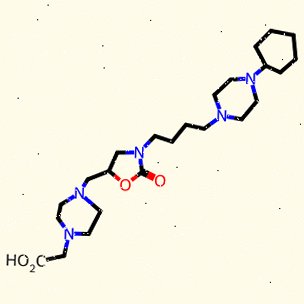 O=C(O)CN1CCN(CC2CN(CCCCN3CCN(C4CCCCC4)CC3)C(=O)O2)CC1